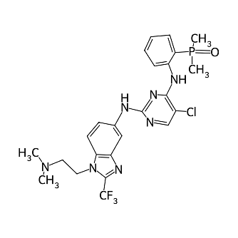 CN(C)CCn1c(C(F)(F)F)nc2cc(Nc3ncc(Cl)c(Nc4ccccc4P(C)(C)=O)n3)ccc21